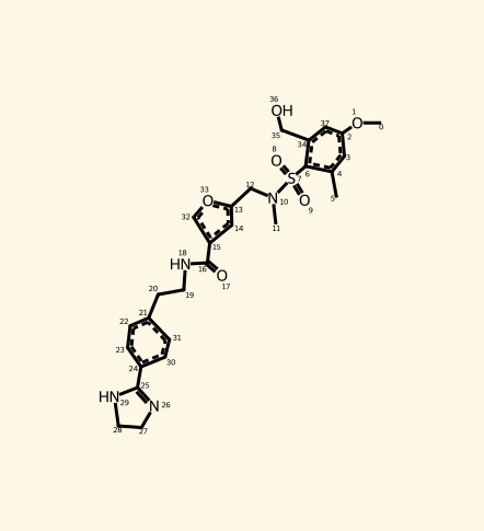 COc1cc(C)c(S(=O)(=O)N(C)Cc2cc(C(=O)NCCc3ccc(C4=NCCN4)cc3)co2)c(CO)c1